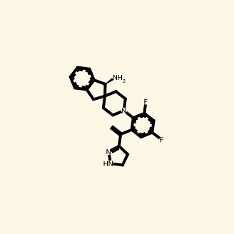 C=C(C1=NNCC1)c1cc(F)cc(F)c1N1CCC2(CC1)Cc1ccccc1[C@H]2N